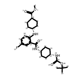 COC(=O)[C@H]1CC[C@H](Nc2ncc(F)cc2C(=O)N[C@H]2CC[C@@H](NC(=O)OC(C)(C)C)CC2)CC1